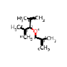 C=C(C)COC(C(=C)C)C(=C)C